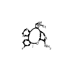 CCN/C1=C(\C=N)Cc2nccnc2-c2ccc(F)cc2[C@@H](C)Oc2cc1cnc2N